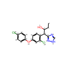 CCC(O)C(c1nc[nH]n1)c1ccc(Oc2ccc(Cl)cc2)cc1Cl